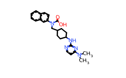 CN(C)c1ccnc(NC2CCC(CN(C(=O)O)c3ccc4ccccc4c3)CC2)n1